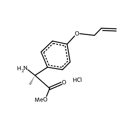 C=CCOc1ccc([C@](C)(N)C(=O)OC)cc1.Cl